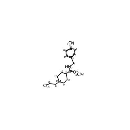 Cl.N#Cc1ccc(CNC(=O)C2CCN(CCCl)CC2)cc1